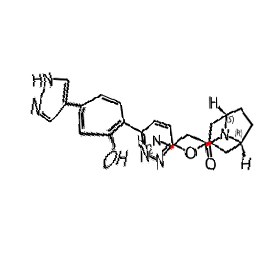 NCCC(=O)N1[C@@H]2CC[C@H]1CC(Oc1ccc(-c3ccc(-c4cn[nH]c4)cc3O)nn1)C2